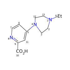 CCN1CCN(c2ccnc(C(=O)O)c2)CC1